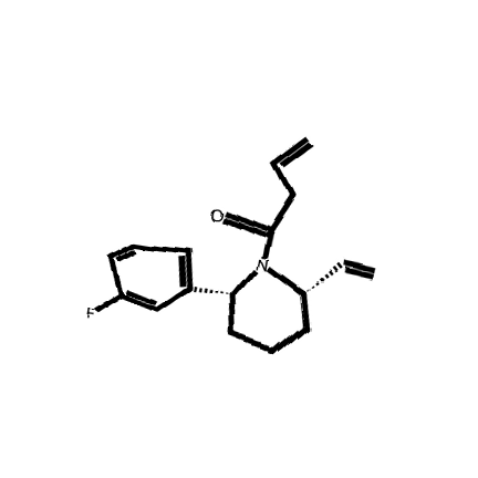 C=CCC(=O)N1[C@H](C=C)CCC[C@@H]1c1cccc(F)c1